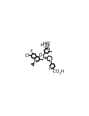 Cc1cc(CN(Cc2cn(C3CC3)c3cc(Cl)c(F)cc3c2=O)[C@H]2CCCN(c3ccc(C(=O)O)nc3)C2)ccn1.O.[Li+].[OH-]